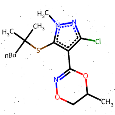 CCCCC(C)(C)Sc1c(C2=NOCC(C)O2)c(Cl)nn1C